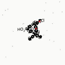 CCOC(CSc1ccc(OC(CC(=O)O)(Oc2ccc(SCC(OCC)=C(c3ccc(-c4ccc(Cl)s4)cc3)c3ccc(-c4ccc(Cl)s4)cc3)cc2C)C(=O)O)c(C)c1)=C(c1ccc(-c2ccco2)cc1)c1ccc(-c2ccco2)cc1